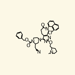 CN1CCCC1COc1nc2c(c(N3CCN(C(=O)OCc4ccccc4)C(CC#N)C3)n1)CCC(=O)N(c1cccc3cccc(Cl)c13)C2